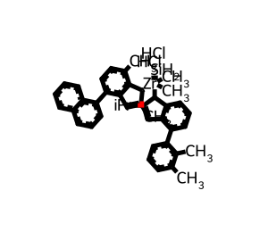 CC1=Cc2c(-c3cccc4ccccc34)ccc(C)c2[CH]1[Zr]([CH3])([CH3])(=[SiH2])[CH]1C(C(C)C)=Cc2c(-c3cccc(C)c3C)cccc21.Cl.Cl